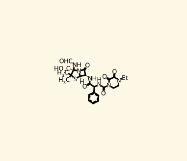 CCN1CCN(C(=O)NC(C(=O)N[C@H]2C(=O)N3[C@@H]2SC(C)(C)[C@]3(NC=O)C(=O)O)c2ccccc2)C(=O)C1=O